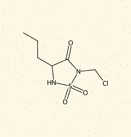 CCCC1NS(=O)(=O)N(CCl)C1=O